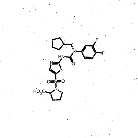 O=C(O)C1CCCN1S(=O)(=O)c1cnc(NC(=O)N(CC2CCCC2)c2ccc(F)c(F)c2)s1